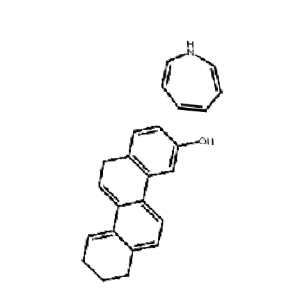 C1=CC=CNC=C1.Oc1ccc2c(c1)-c1ccc3c(c1=CC2)=CCCC3